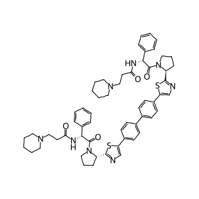 O=C(CCN1CCCCC1)N[C@@H](C(=O)N1CCC[C@H]1c1ncc(-c2ccc(-c3ccc(-c4cnc([C@@H]5CCCN5C(=O)[C@H](NC(=O)CCN5CCCCC5)c5ccccc5)s4)cc3)cc2)s1)c1ccccc1